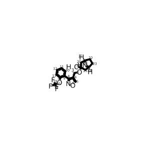 CC1(OCc2conc2-c2ccccc2OC(F)(F)F)C[C@H]2CC[C@@H](C1)N2